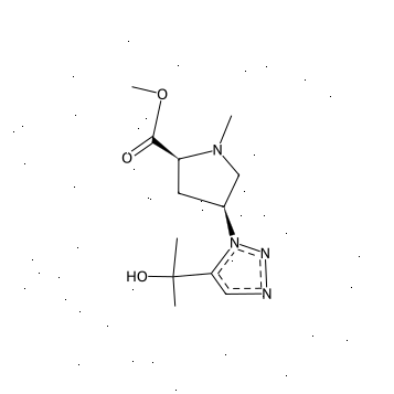 COC(=O)[C@@H]1C[C@H](n2nncc2C(C)(C)O)CN1C